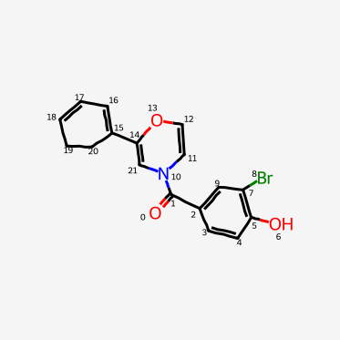 O=C(c1ccc(O)c(Br)c1)N1C=COC(C2=CC=CCC2)=C1